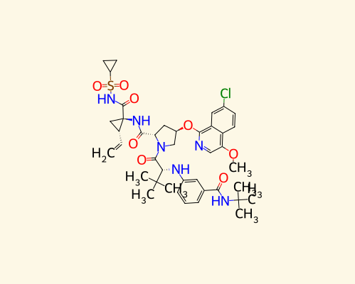 C=C[C@@H]1C[C@]1(NC(=O)[C@@H]1C[C@@H](Oc2ncc(OC)c3ccc(Cl)cc23)CN1C(=O)[C@H](Nc1cccc(C(=O)NC(C)(C)C)c1)C(C)(C)C)C(=O)NS(=O)(=O)C1CC1